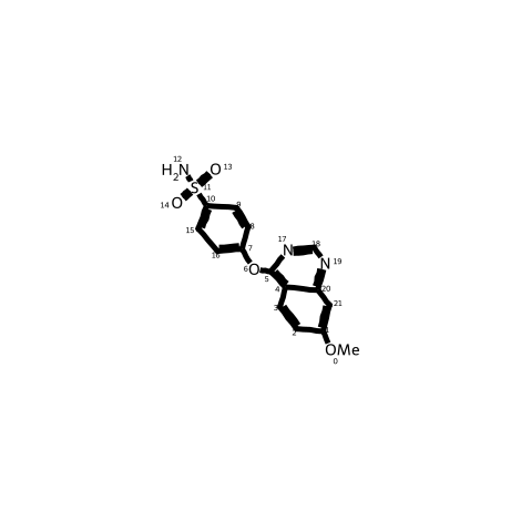 COc1ccc2c(Oc3ccc(S(N)(=O)=O)cc3)ncnc2c1